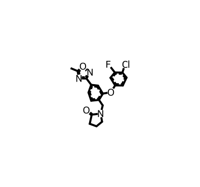 Cc1nc(-c2ccc(CN3CCCC3=O)c(Oc3ccc(Cl)c(F)c3)c2)no1